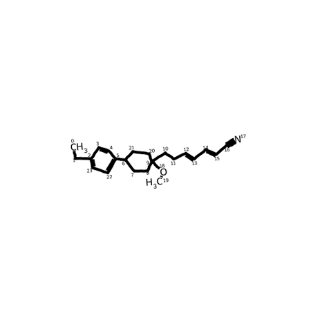 CCc1ccc(C2CCC(CCC=CC=CC#N)(OC)CC2)cc1